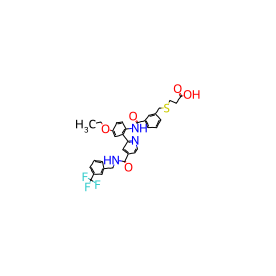 CCOc1ccc(NC(=O)c2cccc(CSCCC(=O)O)c2)c(-c2cc(C(=O)NCc3cccc(C(F)(F)F)c3)ccn2)c1